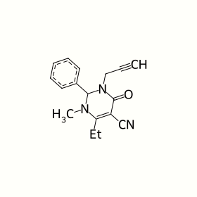 C#CCN1C(=O)C(C#N)=C(CC)N(C)C1c1ccccc1